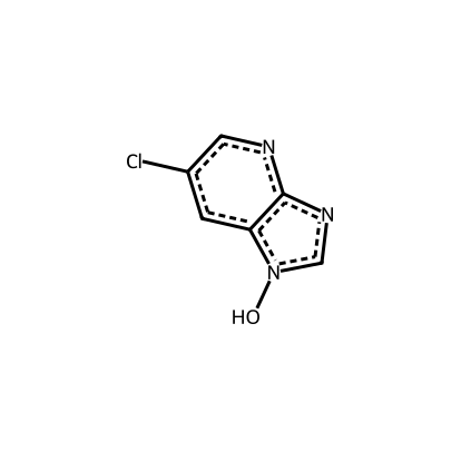 On1cnc2ncc(Cl)cc21